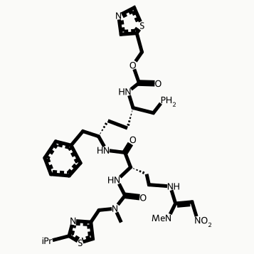 CN/C(=C\[N+](=O)[O-])NCC[C@H](NC(=O)N(C)Cc1csc(C(C)C)n1)C(=O)N[C@@H](CC[C@@H](CP)NC(=O)OCc1cncs1)Cc1ccccc1